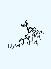 COc1ccc(-c2cn3c(c2C(C)=O)NC(C(N)=O)(C(N)=O)c2ccc([N+](=O)[O-])cc2-3)cc1